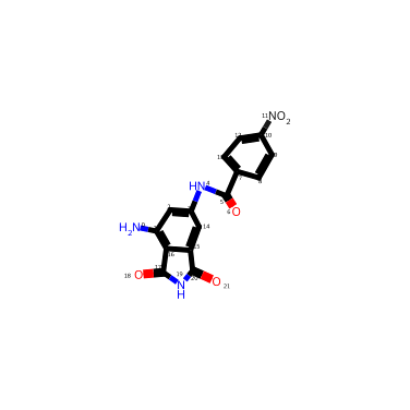 Nc1cc(NC(=O)c2ccc([N+](=O)[O-])cc2)cc2c1C(=O)NC2=O